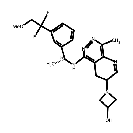 COCC(F)(F)c1cccc([C@@H](C)Nc2nnc(C)c3c2CC(N2CC(O)C2)C=N3)c1